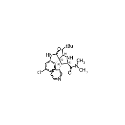 CN(C)C(=O)[C@@H]1N[C@H](CC(C)(C)C)[C@]2(C(=O)Nc3cc(Cl)ccc32)[C@H]1c1cccnc1